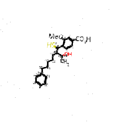 COc1cc(C(=O)O)ccc1C(S)C(CCCCCc1ccccc1)[C](C)O